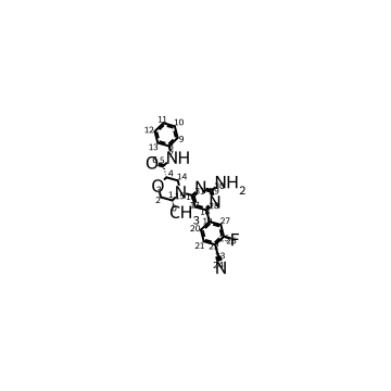 C[C@@H]1CO[C@H](C(=O)Nc2ccccc2)CN1c1cc(-c2ccc(C#N)c(F)c2)nc(N)n1